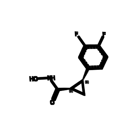 O=C(NO)[C@@H]1C[C@H]1c1ccc(F)c(F)c1